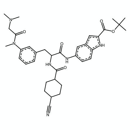 CN(C)CC(=O)N(C)c1cccc(CC(NC(=O)C2CCC(C#N)CC2)C(=O)Nc2ccc3[nH]c(C(=O)OC(C)(C)C)cc3c2)c1